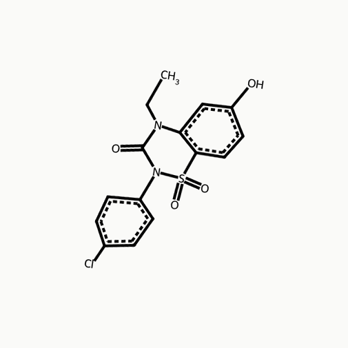 CCN1C(=O)N(c2ccc(Cl)cc2)S(=O)(=O)c2ccc(O)cc21